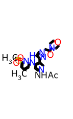 CC(=O)Nc1cc(Nc2cc(C)cc(S(C)(=O)=O)n2)c(-c2ccn(CC(=O)N3CCOCC3)n2)cn1